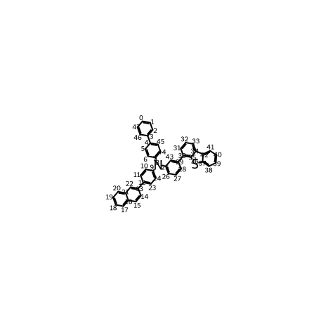 c1ccc(-c2ccc(N(c3ccc(-c4ccc5ccccc5c4)cc3)c3cccc(-c4cccc5c4sc4ccccc45)c3)cc2)cc1